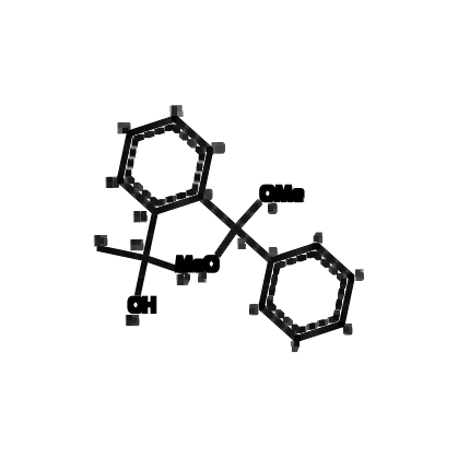 COC(OC)(c1ccccc1)c1ccccc1C(C)(C)O